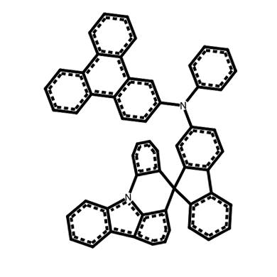 c1ccc(N(c2ccc3c(c2)C2(c4ccccc4-3)c3ccccc3-n3c4ccccc4c4cccc2c43)c2ccc3c4ccccc4c4ccccc4c3c2)cc1